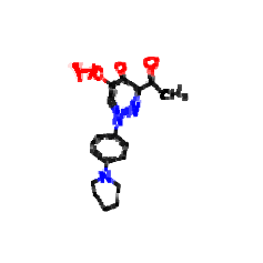 CC(=O)c1nn(-c2ccc(N3CCCCC3)cc2)cc(O)c1=O